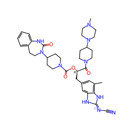 Cc1cc(C[C@@H](OC(=O)N2CCC(N3CCc4ccccc4NC3=O)CC2)C(=O)N2CCC(N3CCN(C)CC3)CC2)cc2[nH]/c(=N/C#N)[nH]c12